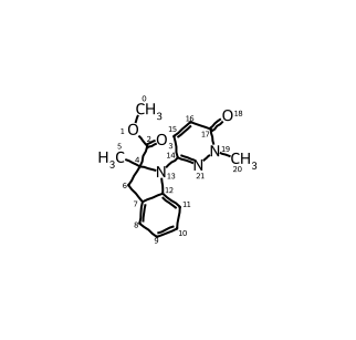 COC(=O)C1(C)Cc2ccccc2N1c1ccc(=O)n(C)n1